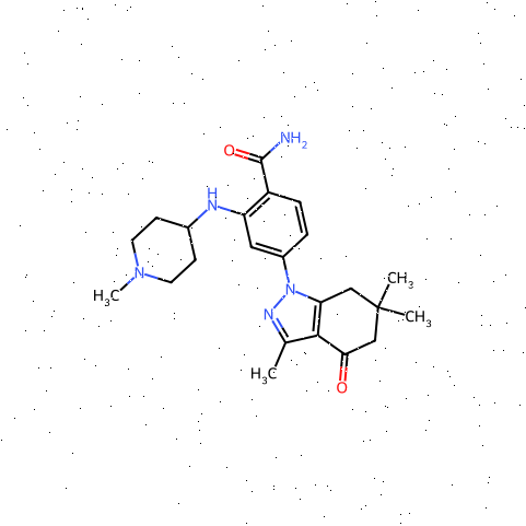 Cc1nn(-c2ccc(C(N)=O)c(NC3CCN(C)CC3)c2)c2c1C(=O)CC(C)(C)C2